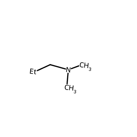 CCCN(C)C